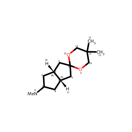 CNC1C[C@@H]2CC3(C[C@@H]2C1)OCC(C)(C)CO3